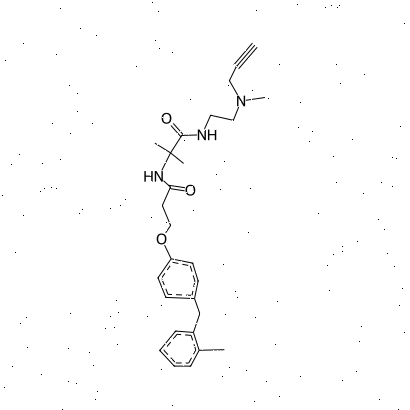 C#CCN(C)CCNC(=O)C(C)(C)NC(=O)CCOc1ccc(Cc2ccccc2C)cc1